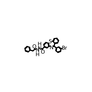 O=C(Cc1ccccc1)NNC(=O)c1ccc2c(c1)N=C(c1cccc(Br)c1)c1ccccc1S2